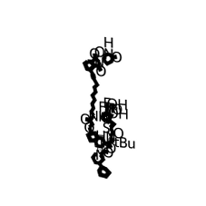 CC(C)(C)[C@H](NC(=O)c1cc2cc(C(F)(F)P(=O)(O)O)ccc2s1)C(=O)N1Cc2cc(OCC(=O)NCCCCCCCCC#Cc3cccc4c3C(=O)N(C3CCC(=O)NC3=O)C4=O)ccc2C[C@H]1C(=O)N1CCCC(c2ccccc2)C1